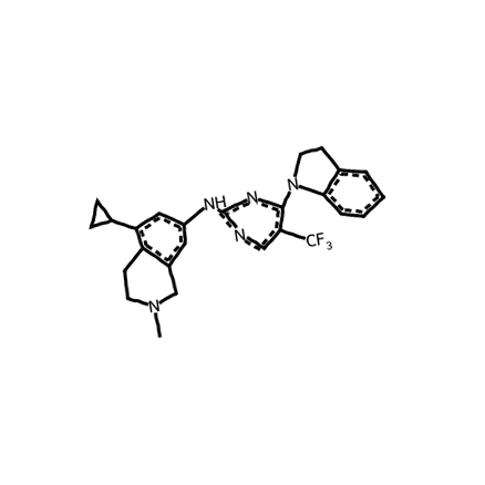 CN1CCc2c(cc(Nc3ncc(C(F)(F)F)c(N4CCc5ccccc54)n3)cc2C2CC2)C1